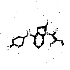 C=CC(F)C(F)n1c(I)cc2c(NC3CCC(=O)CC3)cccc21